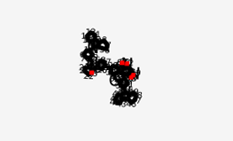 c1cc(-n2c3ccccc3c3ccccc32)cc(-n2c3ccccc3c3cc(-c4ccc5c(c4)Oc4cc(-n6c7ccccc7c7ccccc76)ccc4C54c5cccnc5-c5ncccc54)ccc32)c1